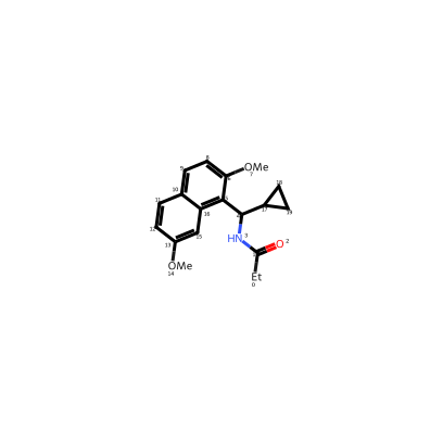 CCC(=O)NC(c1c(OC)ccc2ccc(OC)cc12)C1CC1